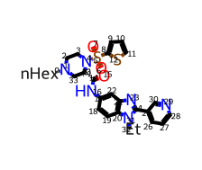 CCCCCCN1CCN(S(=O)(=O)c2cccs2)[C@H](C(=O)Nc2ccc3c(c2)nc(-c2cccnc2)n3CC)C1